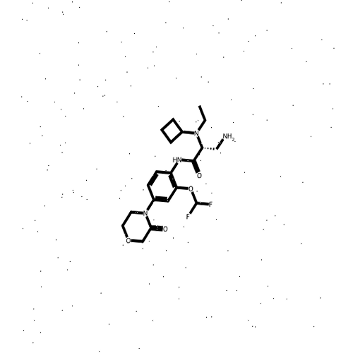 CCN(C1CCC1)[C@H](CN)C(=O)Nc1ccc(N2CCOCC2=O)cc1OC(F)F